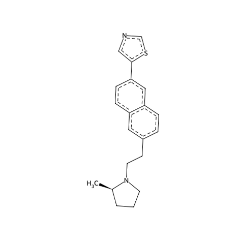 C[C@@H]1CCCN1CCc1ccc2cc(-c3cncs3)ccc2c1